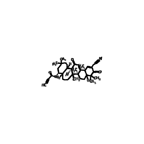 C#CC(=O)N[C@@H]1CC(C)(C)C[C@H]2[C@@H]1CC[C@]1(C)[C@@H]2C(=O)C=C2[C@@]3(C)C=C(C#N)C(=O)C(C)(C)[C@@H]3CC[C@]21C